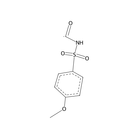 COc1ccc(S(=O)(=O)N[C]=O)cc1